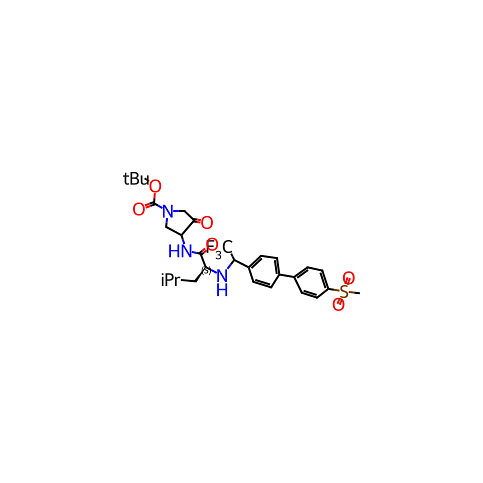 CC(C)C[C@H](NC(c1ccc(-c2ccc(S(C)(=O)=O)cc2)cc1)C(F)(F)F)C(=O)NC1CN(C(=O)OC(C)(C)C)CC1=O